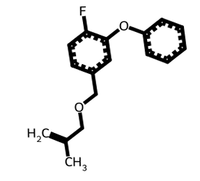 C=C(C)COCc1ccc(F)c(Oc2ccccc2)c1